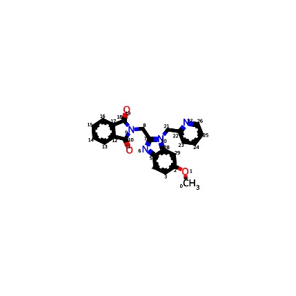 COc1ccc2nc(CN3C(=O)c4ccccc4C3=O)n(Cc3ccccn3)c2c1